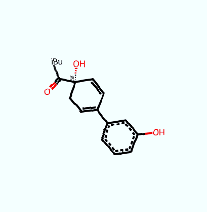 CCC(C)C(=O)[C@@]1(O)C=CC(c2cccc(O)c2)=CC1